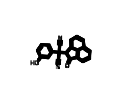 N#CC(C#N)(c1cccc(O)c1)C1C(=O)c2cccc3cccc1c23